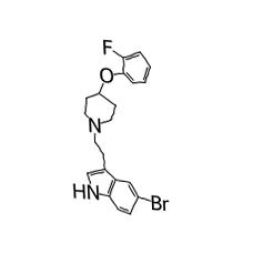 Fc1ccccc1OC1CCN(CCc2c[nH]c3ccc(Br)cc23)CC1